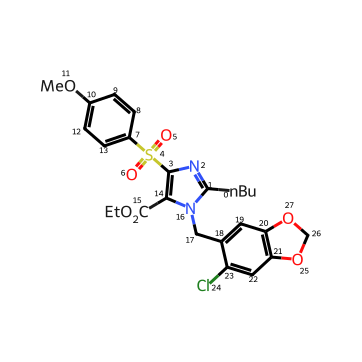 CCCCc1nc(S(=O)(=O)c2ccc(OC)cc2)c(C(=O)OCC)n1Cc1cc2c(cc1Cl)OCO2